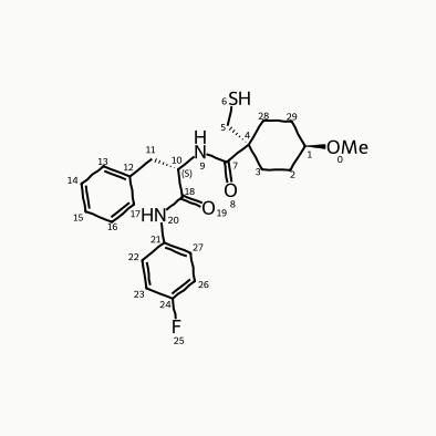 CO[C@H]1CC[C@@](CS)(C(=O)N[C@@H](Cc2ccccc2)C(=O)Nc2ccc(F)cc2)CC1